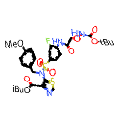 COc1ccc(CN(c2scnc2C(=O)OCC(C)C)S(=O)(=O)c2ccc(NC(=O)CONC(=O)OC(C)(C)C)c(F)c2)cc1